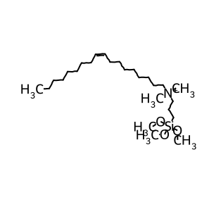 CCCCCCCC/C=C\CCCCCCCC[N+](C)(C)CCC[Si](OC)(OC)OC